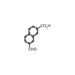 O=Cc1ccc2ccc(C(=O)O)cc2c1